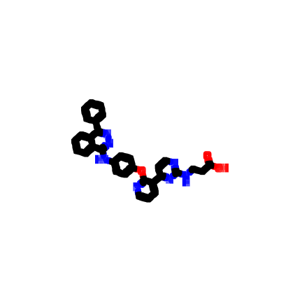 O=C(O)CCNc1nccc(-c2cccnc2Oc2ccc(Nc3nnc(-c4ccccc4)c4ccccc34)cc2)n1